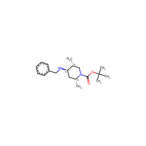 C[C@@H]1CN(C(=O)OC(C)(C)C)[C@H](C)C[C@H]1NCc1ccccc1